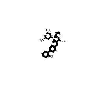 CCCCc1c(Cc2ccc(-c3ccccc3C#N)cc2)c(=O)n(C2C[C@@H](C)O[C@@H](C)C2)c2ncnn12